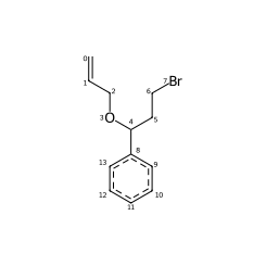 C=CCOC(CCBr)c1ccccc1